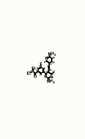 CCN(CC)C(=O)c1cc(F)cc(-c2nc(N)nc(C)c2C#Cc2ccc(N)nc2)c1